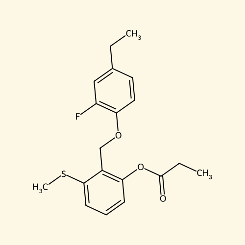 CCC(=O)Oc1cccc(SC)c1COc1ccc(CC)cc1F